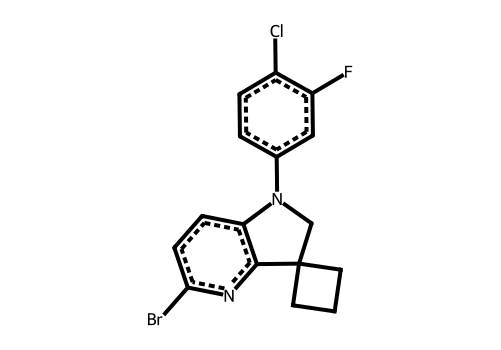 Fc1cc(N2CC3(CCC3)c3nc(Br)ccc32)ccc1Cl